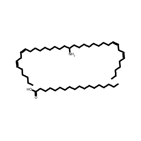 CCCCC/C=C\C/C=C\CCCCCCCCC(N)CCCCCCCC/C=C\C/C=C\CCCCC.CCCCCCCCCCCCCCCCCC(=O)O